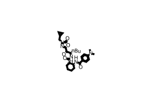 CCCC[C@H](NC(=O)[C@@H]1CCCC[C@@H]1NC(=O)c1ccc(N(C)C)cc1)C(=O)c1nn(CC2CC2)c(=O)o1